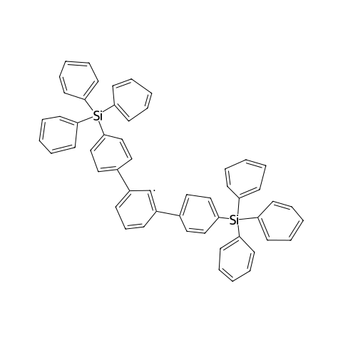 [c]1c(-c2ccc([Si](c3ccccc3)(c3ccccc3)c3ccccc3)cc2)cccc1-c1ccc([Si](c2ccccc2)(c2ccccc2)c2ccccc2)cc1